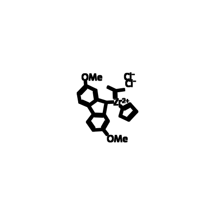 COc1ccc2c(c1)[CH]([Zr+2]([C]1=CC=CC1)=[C](C)C)c1cc(OC)ccc1-2.[Cl-].[Cl-]